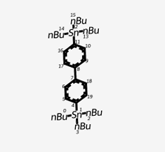 CCC[CH2][Sn]([CH2]CCC)([CH2]CCC)[c]1ccc(-c2cc[c]([Sn]([CH2]CCC)([CH2]CCC)[CH2]CCC)cc2)cc1